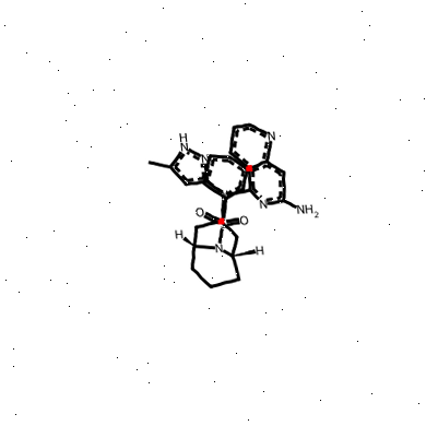 Cc1cc(N(c2nc(N)cc3ncccc23)[C@@H]2C[C@H]3CCC[C@@H](C2)N3S(=O)(=O)c2ccccc2)n[nH]1